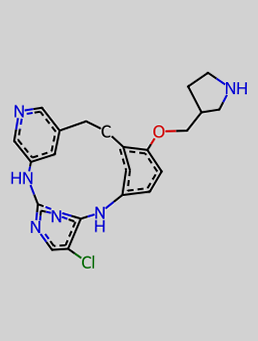 Clc1cnc2nc1Nc1ccc(OCC3CCNC3)c(c1)CCc1cncc(c1)N2